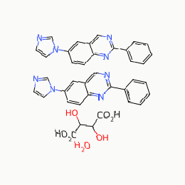 O.O=C(O)C(O)C(O)C(=O)O.c1ccc(-c2ncc3cc(-n4ccnc4)ccc3n2)cc1.c1ccc(-c2ncc3cc(-n4ccnc4)ccc3n2)cc1